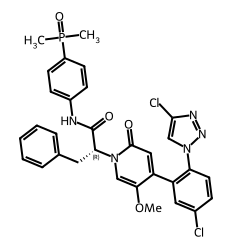 COc1cn([C@H](Cc2ccccc2)C(=O)Nc2ccc(P(C)(C)=O)cc2)c(=O)cc1-c1cc(Cl)ccc1-n1cc(Cl)nn1